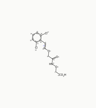 O=C(O)CONC(=O)CO/N=C/c1c(Cl)cccc1Cl